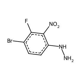 NNc1ccc(Br)c(F)c1[N+](=O)[O-]